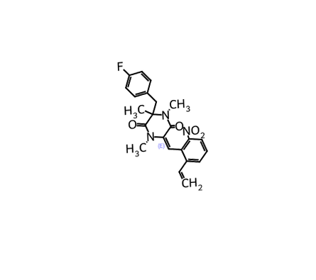 C=Cc1cccc([N+](=O)[O-])c1/C=C1\C(=O)N(C)C(C)(Cc2ccc(F)cc2)C(=O)N1C